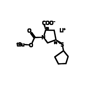 CC(C)(C)OC(=O)N1C[C@H](SC2CCCC2)C[C@H]1C(=O)[O-].[Li+]